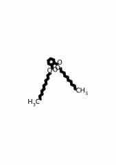 CCCCCCCCCCCCOC(=O)C1CCCCC1C(=O)OCCCCCCCCCCC